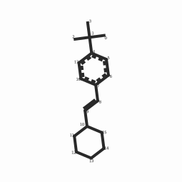 CC(C)(C)c1ccc(C=CC2CCCCC2)cc1